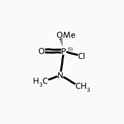 CO[P@](=O)(Cl)N(C)C